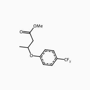 COC(=O)CC(C)Oc1ccc(C(F)(F)F)cc1